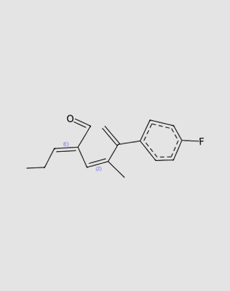 C=C(/C(C)=C\C(C=O)=C/CC)c1ccc(F)cc1